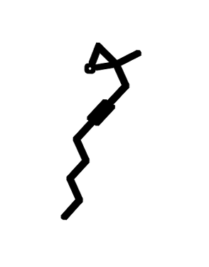 CCCCCC#CCC1(C)CO1